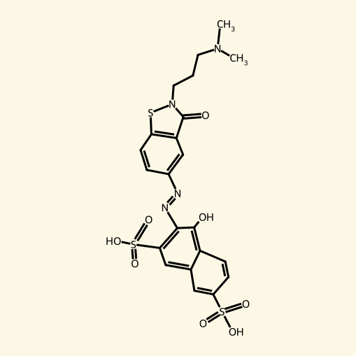 CN(C)CCCn1sc2ccc(N=Nc3c(S(=O)(=O)O)cc4cc(S(=O)(=O)O)ccc4c3O)cc2c1=O